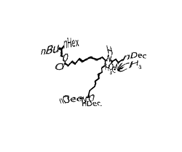 CCCCCCCCCCC(CC(=O)NC(CCCCCCCCC(=O)OCC(CCCC)CCCCCC)CCCCCCCCC(=O)N(CCCCCCCCCC)CCCCCCCCCC)N(C)C